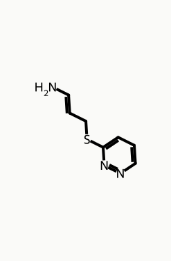 NC=CCSc1cccnn1